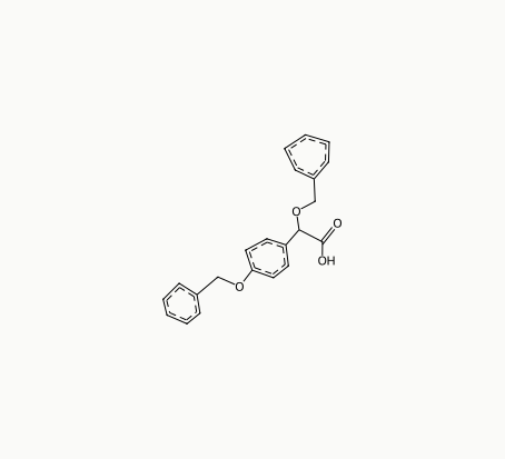 O=C(O)C(OCc1ccccc1)c1ccc(OCc2ccccc2)cc1